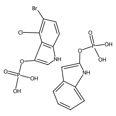 O=P(O)(O)Oc1c[nH]c2ccc(Br)c(Cl)c12.O=P(O)(O)Oc1cc2ccccc2[nH]1